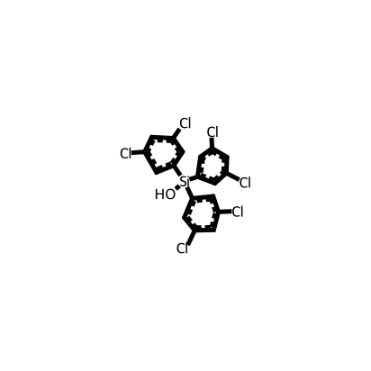 O[Si](c1cc(Cl)cc(Cl)c1)(c1cc(Cl)cc(Cl)c1)c1cc(Cl)cc(Cl)c1